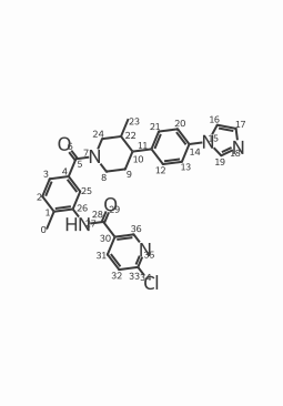 Cc1ccc(C(=O)N2CCC(c3ccc(-n4ccnc4)cc3)C(C)C2)cc1NC(=O)c1ccc(Cl)nc1